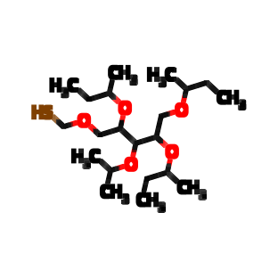 CCC(C)OCC(OC(C)CC)C(OC(C)C)C(COCS)OC(C)CC